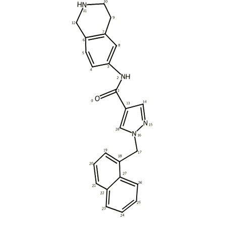 O=C(Nc1ccc2c(c1)CCNC2)c1cnn(Cc2cccc3ccccc23)c1